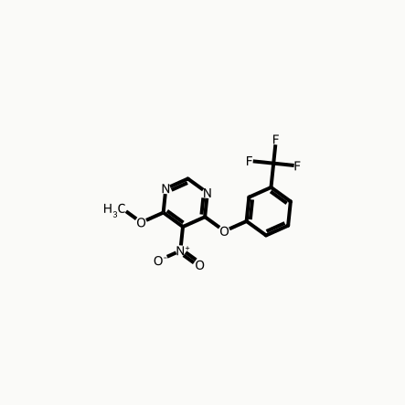 COc1ncnc(Oc2cccc(C(F)(F)F)c2)c1[N+](=O)[O-]